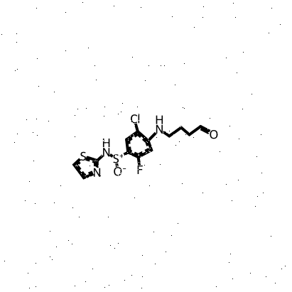 O=CCCCNc1cc(F)c([S+]([O-])Nc2nccs2)cc1Cl